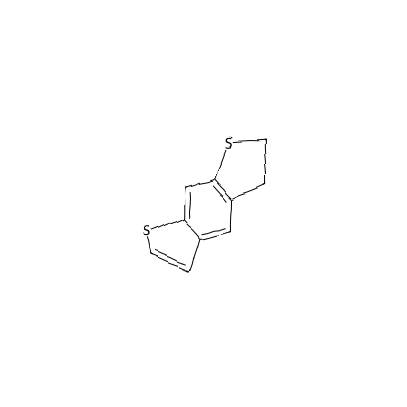 c1cc2cc3c(cc2s1)SCC3